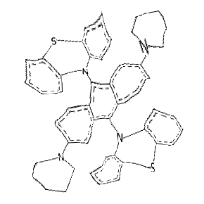 c1ccc2c(c1)Sc1ccccc1N2c1c2ccc(N3CCCCC3)cc2c(N2c3ccccc3Sc3ccccc32)c2ccc(N3CCCCC3)cc12